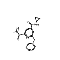 CNC(=O)c1cc(C(=O)NC2CC2)cc(Cc2ccccc2)n1